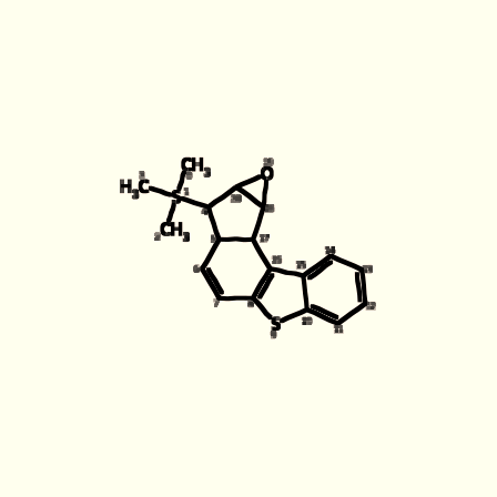 CS(C)(C)C1C2C=Cc3sc4ccccc4c3C2C2OC21